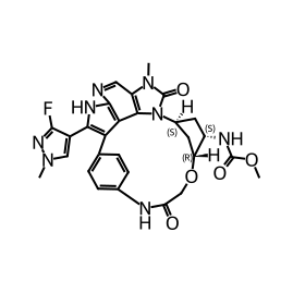 COC(=O)N[C@H]1C[C@H]2C[C@H]1OCC(=O)Nc1ccc(cc1)-c1c(-c3cn(C)nc3F)[nH]c3ncc4c(c13)n2c(=O)n4C